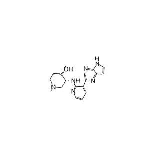 CN1CC[C@@H](O)[C@H](Nc2ncccc2-c2cnc3[nH]ccc3n2)C1